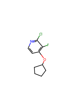 Fc1c(OC2CCCC2)ccnc1Cl